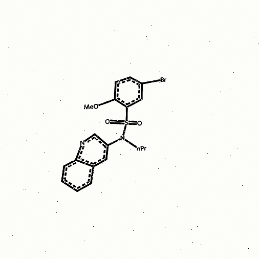 CCCN(c1cnc2ccccc2c1)S(=O)(=O)c1cc(Br)ccc1OC